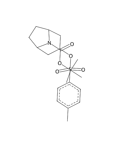 Cc1ccc(S(=O)(=O)OC2CC3CCC(C2)N3C(=O)OC(C)(C)C)cc1